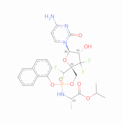 CC(C)OC(=O)[C@H](C)NP(=O)(OC[C@@]1(C(F)F)O[C@@H](n2ccc(N)nc2=O)[C@H](O)C1(F)F)Oc1cccc2ccccc12